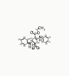 CCOC(=O)C1=C(Nc2ccccc2)CC(C(=O)O)=C(Nc2ccccc2)C1